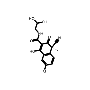 C[C@@]1(C#N)C(=O)C(C(=O)NCC(O)O)=C(O)c2cc(Cl)ccc21